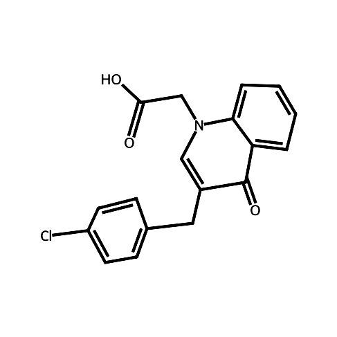 O=C(O)Cn1cc(Cc2ccc(Cl)cc2)c(=O)c2ccccc21